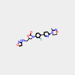 CC1=NOCCN1c1ccc(-c2ccc(N3CC(CNc4ccon4)OC3=O)cc2F)cn1